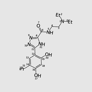 CCN(CC)CCNC(=O)c1nnc(-c2cc(C(C)C)c(O)cc2O)[nH]1